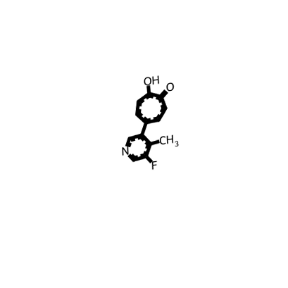 Cc1c(F)cncc1-c1ccc(O)c(=O)cc1